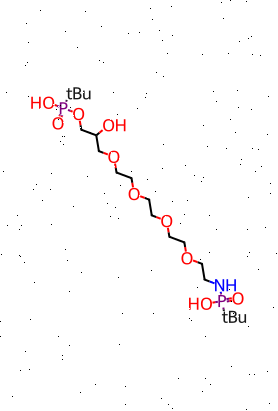 CC(C)(C)P(=O)(O)NCCOCCOCCOCCOCC(O)COP(=O)(O)C(C)(C)C